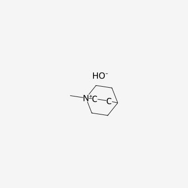 C[N+]12CCC(CC1)CC2.[OH-]